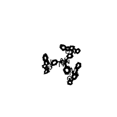 c1cc(-c2nc(-c3ccc(-n4c5ccccc5c5ccc6c7ccccc7oc6c54)cc3)nc(-c3ccc(-n4c5ccccc5c5ccc6c7ccccc7oc6c54)cc3)n2)cc(-n2c3ccccc3c3ccc4c5ccccc5oc4c32)c1